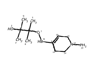 CC(C)(O)C(C)(C)OBC1=CCN(P)CC1